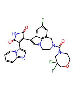 O=C1NC(=O)C(c2cnc3ccccn23)=C1c1cn2c3c(cc(F)cc13)CN(C(=O)N1CCOCC(F)(F)C1)CC2